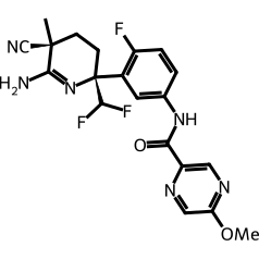 COc1cnc(C(=O)Nc2ccc(F)c([C@@]3(C(F)F)CC[C@](C)(C#N)C(N)=N3)c2)cn1